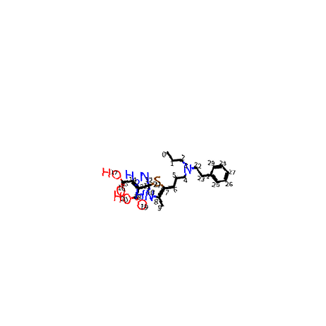 CCCN(CCCC1=C(C)NC(N)(C(=CC(=O)O)C(=O)O)S1)CCc1ccccc1